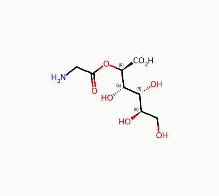 NCC(=O)O[C@@H](C(=O)O)[C@@H](O)[C@H](O)[C@H](O)CO